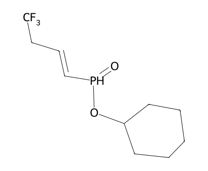 O=[PH](C=CCC(F)(F)F)OC1CCCCC1